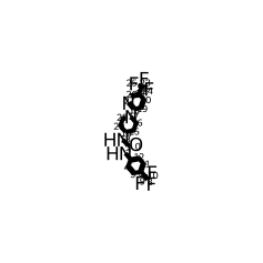 O=C(Nc1ccc(C(F)(F)F)cc1)NC1CCN(c2ccc(C(F)(F)F)cn2)CC1